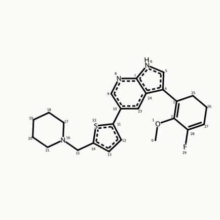 COC1=C(c2c[nH]c3ncc(-c4ccc(CN5CCCCC5)s4)cc23)CCC=C1F